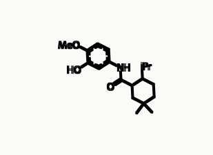 COc1ccc(NC(=O)C2CC(C)(C)CCC2C(C)C)cc1O